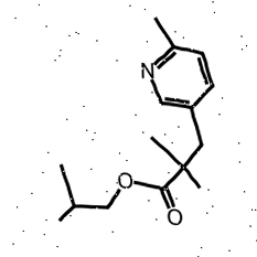 Cc1ccc(CC(C)(C)C(=O)OCC(C)C)cn1